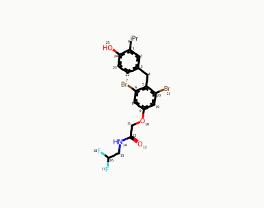 CC(C)c1cc(Cc2c(Br)cc(OCC(=O)NCC(F)F)cc2Br)ccc1O